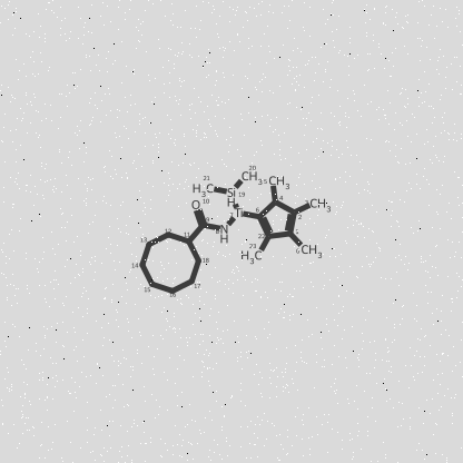 CC1=C(C)C(C)[C]([Ti]([NH]C(=O)C2CCCCCCC2)[SiH](C)C)=C1C